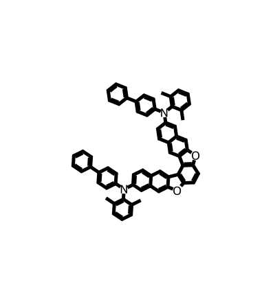 Cc1cccc(C)c1N(c1ccc(-c2ccccc2)cc1)c1ccc2cc3c(cc2c1)oc1ccc2oc4cc5cc(N(c6ccc(-c7ccccc7)cc6)c6c(C)cccc6C)ccc5cc4c2c13